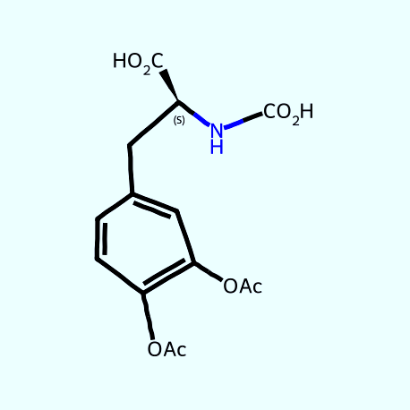 CC(=O)Oc1ccc(C[C@H](NC(=O)O)C(=O)O)cc1OC(C)=O